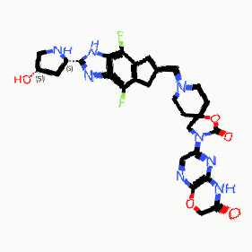 O=C1COc2ncc(N3CC4(CCN(CC5Cc6c(c(F)c7[nH]c([C@@H]8C[C@H](O)CN8)nc7c6F)C5)CC4)OC3=O)nc2N1